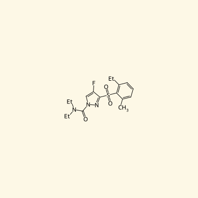 CCc1cccc(C)c1S(=O)(=O)c1nn(C(=O)N(CC)CC)cc1F